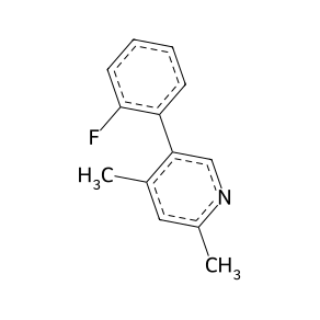 Cc1cc(C)c(-c2ccccc2F)cn1